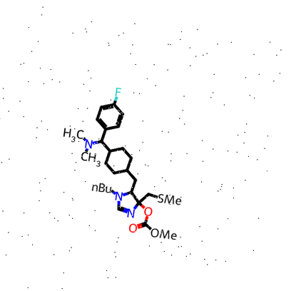 CCCCN1C=NC(CSC)(OC(=O)OC)C1CC1CCC(C(c2ccc(F)cc2)N(C)C)CC1